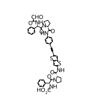 O=CC(=O)N[C@@H](C(=O)N1CCC[C@H]1C(=O)Nc1ccc(C#Cc2cc3sc(NC(=O)[C@@H]4CCCN4C(=O)[C@H](NC(=O)O)c4ccccc4)cc3s2)cc1)c1ccccc1